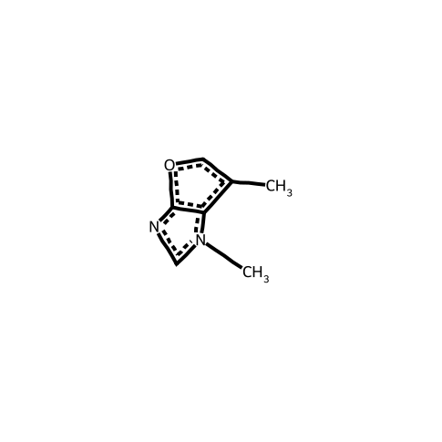 Cc1coc2ncn(C)c12